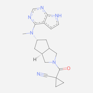 CN(c1ncnc2[nH]ccc12)[C@@H]1CC2CN(C(=O)C3(C#N)CC3)C[C@H]2C1